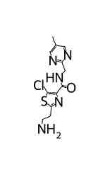 Cc1cnc(CNC(=O)c2nc(CCN)sc2Cl)nc1